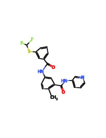 Cc1ccc(NC(=O)c2cccc(SC(F)F)c2)cc1C(=O)Nc1cccnc1